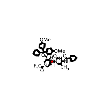 COc1ccc(C(OC[C@@]23CN(C(=O)C(F)(F)F)C[C@@H]([C@H](n4cc(C)c(NC(=O)c5ccccc5)nc4=O)O2)[C@@H]3O)(c2ccccc2)c2ccc(OC)cc2)cc1